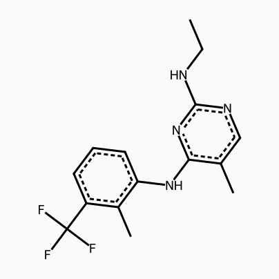 CCNc1ncc(C)c(Nc2cccc(C(F)(F)F)c2C)n1